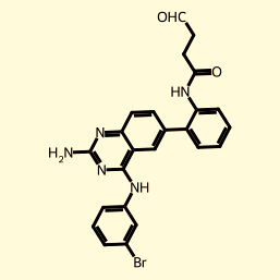 Nc1nc(Nc2cccc(Br)c2)c2cc(-c3ccccc3NC(=O)CCC=O)ccc2n1